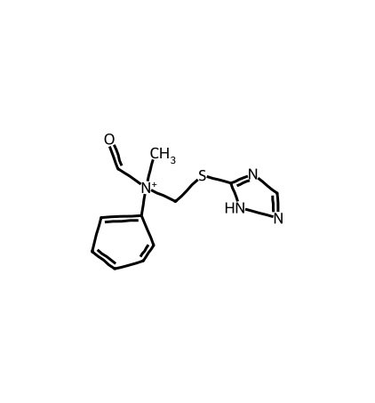 C[N+](C=O)(CSc1ncn[nH]1)c1ccccc1